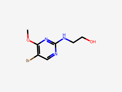 COc1nc(NCCO)ncc1Br